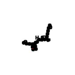 CC1(C)c2cc(-c3cccc(-c4ccc5cc(N(c6ccc(-c7ccc(-c8ccc9c(c8)oc8ccccc89)cc7)cc6)c6ccc7c(c6)C(c6ccccc6)(c6ccccc6)c6ccccc6-7)ccc5c4)c3)ccc2-c2ccc(N(c3ccccc3)c3ccc(-c4ccc(-c5ccc(-c6ccc7c(c6)oc6ccccc67)cc5)cc4)cc3)cc21